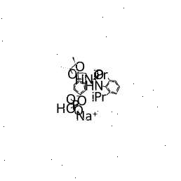 CC(C)c1cccc(C(C)C)c1NC(=O)NCC1(c2ccc(OP(=O)([O-])O)cc2)O[C@H](C)[C@@H](C)O1.[Na+]